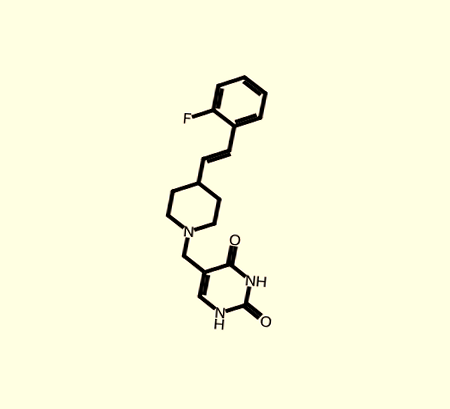 O=c1[nH]cc(CN2CCC(C=Cc3ccccc3F)CC2)c(=O)[nH]1